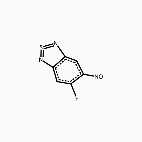 O=Nc1cc2c(cc1F)N=S=N2